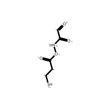 O=CC(=O)NOC(=O)CCS